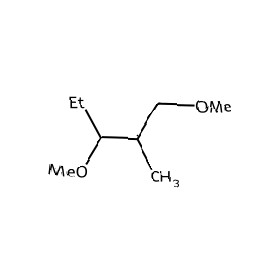 CCC(OC)[C](C)COC